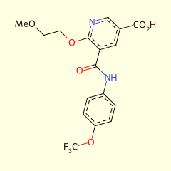 COCCOc1ncc(C(=O)O)cc1C(=O)Nc1ccc(OC(F)(F)F)cc1